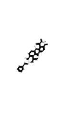 C=c1c2ccc(C(C)=O)c3c(C(C)=O)cnc(c4ccc5c(c14)/C(=C\C)C(=O)N(CCc1ccccc1)C5=O)c32